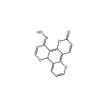 O=c1ccc2c(o1)=C1C(=NO)C=COC1C1=CC=COC=21